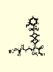 C[C@H](CCNC(=O)OC(C)(C)C)N(C(=O)CCl)C1CC2(C1)CN(S(=O)(=O)c1ccccc1F)C2